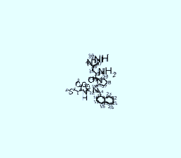 COC(=O)C(CCSC)NC(=O)CN(Cc1cccc2ccccc12)C[C@@H]1CCCN1C(=O)[C@@H](N)Cc1c[nH]cn1